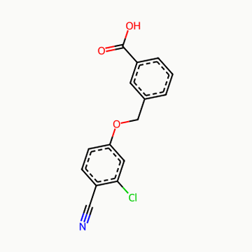 N#Cc1ccc(OCc2cccc(C(=O)O)c2)cc1Cl